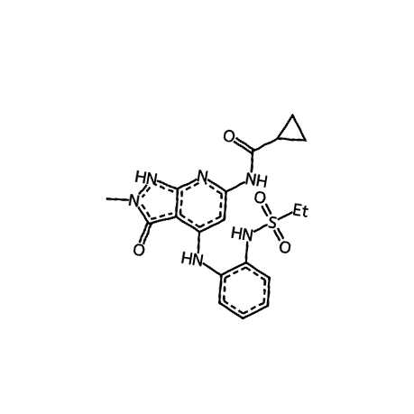 CCS(=O)(=O)Nc1ccccc1Nc1cc(NC(=O)C2CC2)nc2[nH]n(C)c(=O)c12